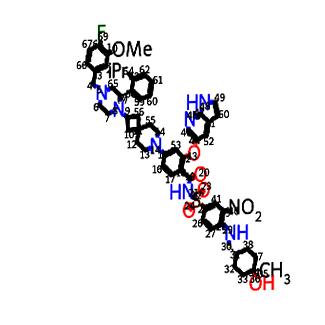 COc1cc(CN2CCN(C3CC4(CCN(c5ccc(C(=O)NS(=O)(=O)c6ccc(NC[C@H]7CC[C@](C)(O)CC7)c([N+](=O)[O-])c6)c(Oc6cnc7[nH]ccc7c6)c5)CC4)C3)[C@H](c3ccccc3C(C)C)C2)ccc1F